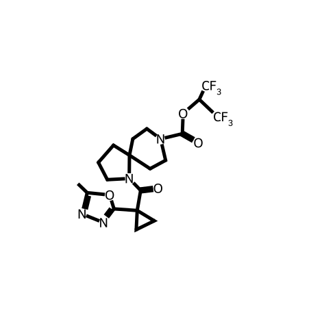 Cc1nnc(C2(C(=O)N3CCCC34CCN(C(=O)OC(C(F)(F)F)C(F)(F)F)CC4)CC2)o1